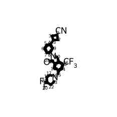 N#CC1CC(c2cccc(N3Cc4c(cc(CN5CCC(F)(F)CC5)cc4C(F)(F)F)C3=O)c2)C1